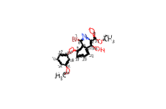 COC(=O)c1nc(Br)c2c(Oc3cccc(OC)c3)cccc2c1O